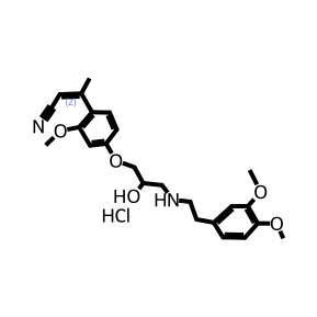 COc1ccc(CCNCC(O)COc2ccc(/C(C)=C\C#N)c(OC)c2)cc1OC.Cl